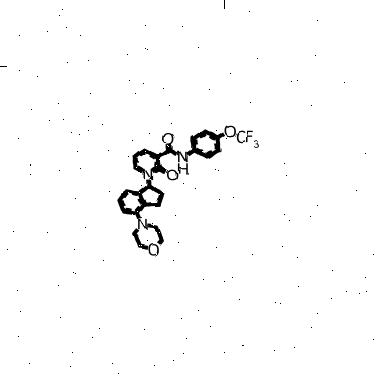 O=C(Nc1ccc(OC(F)(F)F)cc1)c1cccn(C2CCc3c2cccc3N2CCOCC2)c1=O